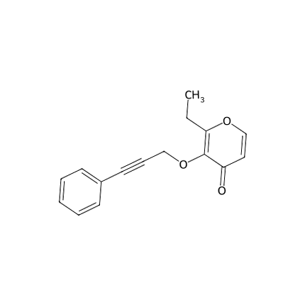 CCc1occc(=O)c1OCC#Cc1ccccc1